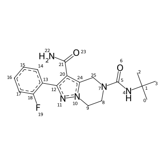 CC(C)(C)NC(=O)N1CCn2nc(-c3ccccc3F)c(C(N)=O)c2C1